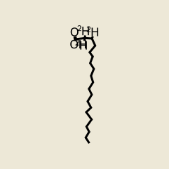 [2H]C(CCCCCCCCCCCCCCCCC)C([2H])([2H])C(=O)O